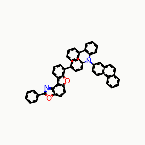 c1ccc(-c2nc3c(ccc4oc5c(-c6ccc(N(c7ccc8c(ccc9ccccc98)c7)c7ccccc7-c7ccccc7)cc6)cccc5c43)o2)cc1